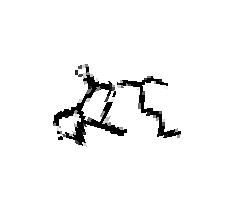 C=C1c2cscc2C(=O)N1CC(CC)CCCC